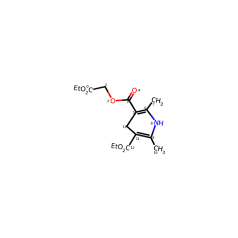 CCOC(=O)COC(=O)C1=C(C)NC(C)=C(C(=O)OCC)C1